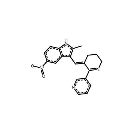 Cc1[nH]c2ccc([N+](=O)[O-])cc2c1C=C1CCCN=C1c1cccnc1